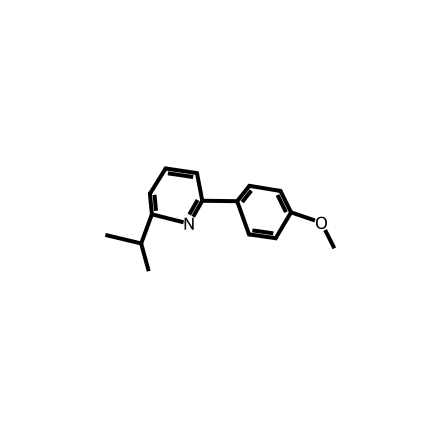 COc1ccc(-c2cccc(C(C)C)n2)cc1